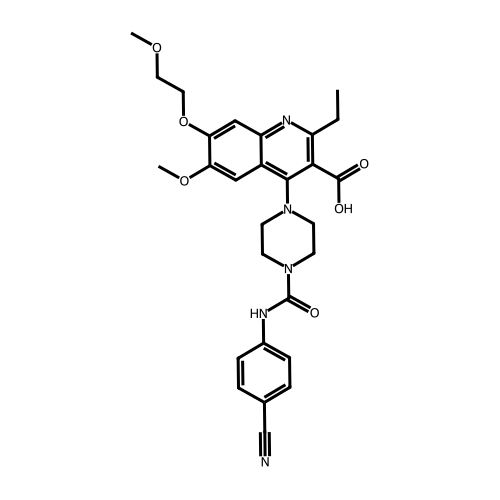 CCc1nc2cc(OCCOC)c(OC)cc2c(N2CCN(C(=O)Nc3ccc(C#N)cc3)CC2)c1C(=O)O